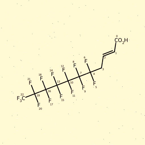 O=C(O)C=CCC(F)(F)C(F)(F)C(F)(F)C(F)(F)C(F)(F)C(F)(F)C(F)(F)F